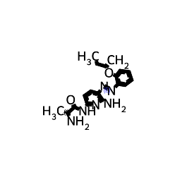 C=C(CC)Oc1ccccc1/N=N/c1ccc(NC(=O)[C@H](C)N)nc1N